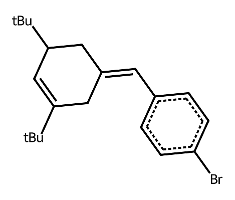 CC(C)(C)C1=CC(C(C)(C)C)CC(=Cc2ccc(Br)cc2)C1